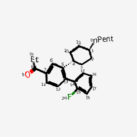 CCCCC[C@H]1CC[C@H](c2cc(C(=O)CC)ccc2-c2ccccc2F)CC1